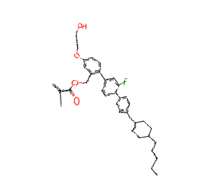 C=C(C)C(=O)OCc1cc(OCCO)ccc1-c1ccc(-c2ccc(C3CCC(CCCCC)CC3)cc2)c(F)c1